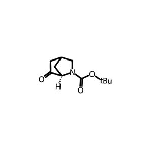 CC(C)(C)OC(=O)N1CC2CC(=O)[C@H]1C2